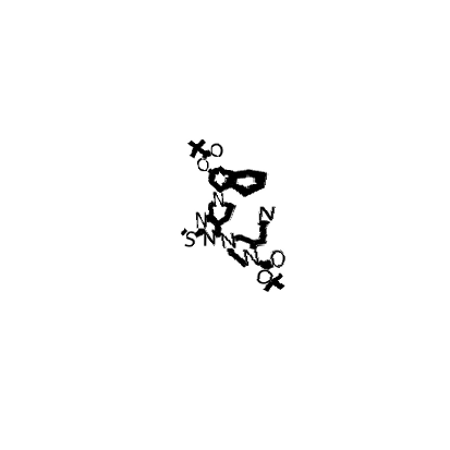 CSc1nc2c(c(N3CCN(C(=O)OC(C)(C)C)C(CC#N)C3)n1)CCN(c1cc(OC(=O)C(C)(C)C)cc3ccccc13)C2